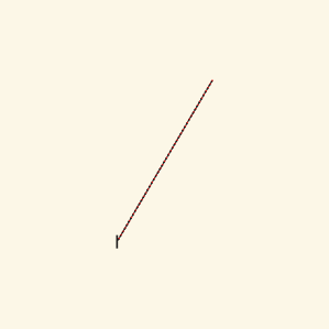 C#CC#CC#CC#CC#CC#CC#CC#CC#CC#CC#CC#CC#CC#CC#CC#CC#CC#CC#CC#CC#CC#CC#CC#CC#CC#CC#CC#CC#CC#CC#CC#CC#CC#CC#CC#CC#CC#CC#CC#CC#CC#CC#CC#CC#CC#CI